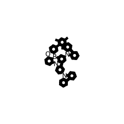 Cc1cc(C)c(-c2ccc3c(c2)B2c4c(cccc4-n4c5ccc(-n6c7ccccc7c7ccccc76)cc5c5cc(-n6c7ccccc7c7ccccc76)cc2c54)O3)c(C)c1